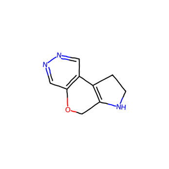 c1nncc2c1OCC1=C2CCN1